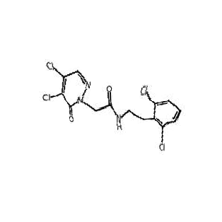 O=C(Cn1ncc(Cl)c(Cl)c1=O)NCCc1c(Cl)cccc1Cl